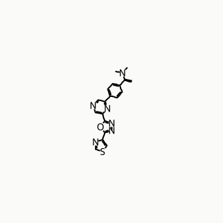 C=C(c1ccc(-c2cncc(-c3nnc(-c4cscn4)o3)n2)cc1)N(C)C